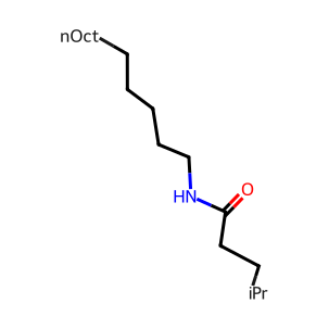 CCCCCCCCCCCCCNC(=O)CCC(C)C